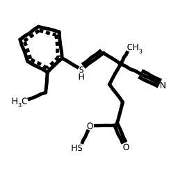 CCc1ccccc1[SH]=CC(C)(C#N)CCC(=O)OS